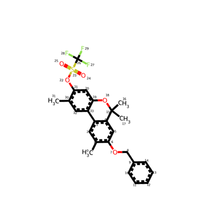 Cc1cc2c(cc1OCc1ccccc1)C(C)(C)Oc1cc(OS(=O)(=O)C(F)(F)F)c(C)cc1-2